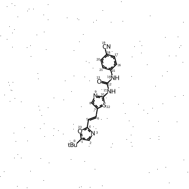 CC(C)(C)c1cnc(C=Cc2cnc(NC(=O)Nc3ccc(C#N)cc3)s2)o1